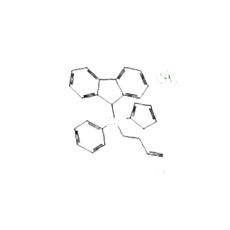 C.C=CC[CH2][Zr+2]([C]1=CC=CC1)([c]1ccccc1)[CH]1c2ccccc2-c2ccccc21.[Cl-].[Cl-]